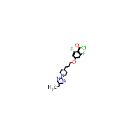 CCc1cnc(N2CCC(CCCOc3cc(F)c(C(=O)Cl)c(F)c3)CC2)nc1